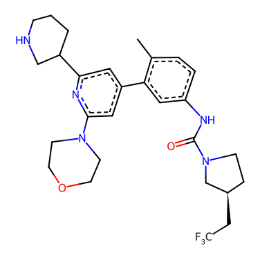 Cc1ccc(NC(=O)N2CC[C@@H](CC(F)(F)F)C2)cc1-c1cc(C2CCCNC2)nc(N2CCOCC2)c1